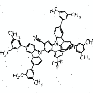 Cc1cc(C)cc(-c2ccc3c(c2)c2cc(-c4cc(C)cc(C)c4)ccc2n3-c2cc(-c3cc(C#N)cc(C(F)(F)F)c3)c(-n3c4ccc(-c5cc(C)cc(C)c5)cc4c4cc(-c5cc(C)cc(C)c5)ccc43)cc2C#N)c1